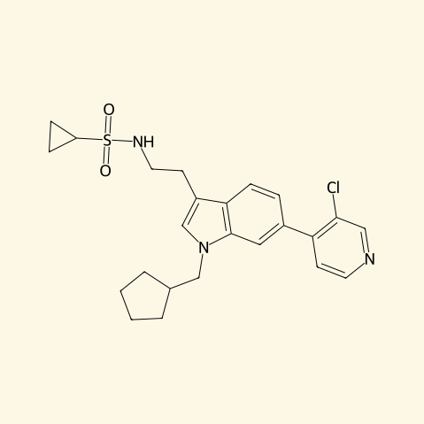 O=S(=O)(NCCc1cn(CC2CCCC2)c2cc(-c3ccncc3Cl)ccc12)C1CC1